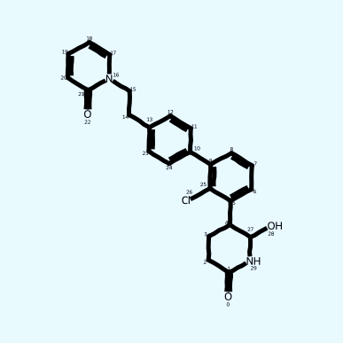 O=C1CCC(c2cccc(-c3ccc(CCn4ccccc4=O)cc3)c2Cl)C(O)N1